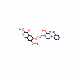 COc1cc2c(cc1OCCCN1CCN(c3ccccc3OC)CC1O)C(=O)C(C)OC2